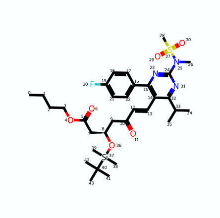 CCCCOC(=O)C[C@@H](CC(=O)/C=C/c1c(-c2ccc(F)cc2)nc(N(C)S(C)(=O)=O)nc1C(C)C)O[Si](C)(C)C(C)(C)C